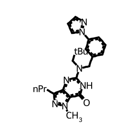 CCCc1nn(C)c2c(=O)[nH]c(N(Cc3cccc(-n4cccn4)c3)CC(C)(C)C)nc12